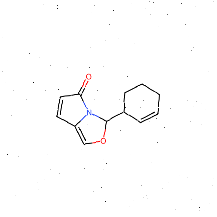 O=C1C=CC2=COC(C3C=CCCC3)N12